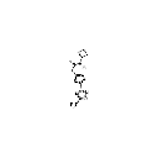 CN(Cc1ccc(-c2noc(C(F)(F)F)n2)s1)C(=O)C1CCC1